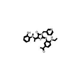 CCNc1ccc(C(C)=O)cc1N=C1S/C(=C(\C)N(C)c2ccccc2S)C(=O)N1Cc1cccnc1